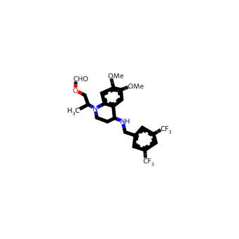 COc1cc2c(cc1OC)N(C(C)COC=O)CCC2NCc1cc(C(F)(F)F)cc(C(F)(F)F)c1